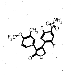 Cc1cc(C2=C(c3cc(F)c(S(N)(=O)=O)cc3F)COC2=O)ccc1OC(F)(F)F